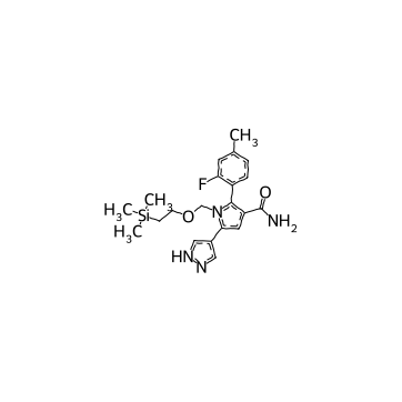 Cc1ccc(-c2c(C(N)=O)cc(-c3cn[nH]c3)n2COCC[Si](C)(C)C)c(F)c1